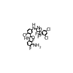 Nc1c(F)ccc(NC(=O)c2cc(NC3=NOC(c4cc(Cl)cc(Cl)c4)(C(F)(F)F)C3)ccc2Cl)c1F